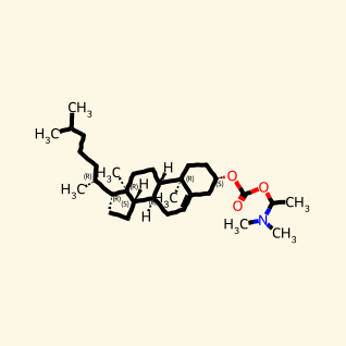 CC(C)CCC[C@@H](C)[C@H]1CC[C@H]2[C@@H]3CC=C4C[C@@H](OC(=O)OC(C)N(C)C)CC[C@]4(C)[C@H]3CC[C@]12C